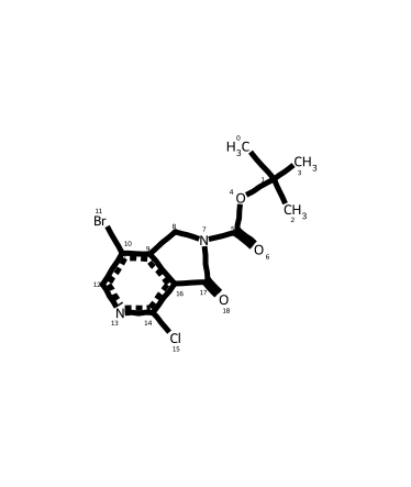 CC(C)(C)OC(=O)N1Cc2c(Br)cnc(Cl)c2C1=O